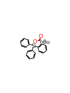 CCCCC(=O)O[Si](c1ccccc1)(c1ccccc1)c1ccccc1